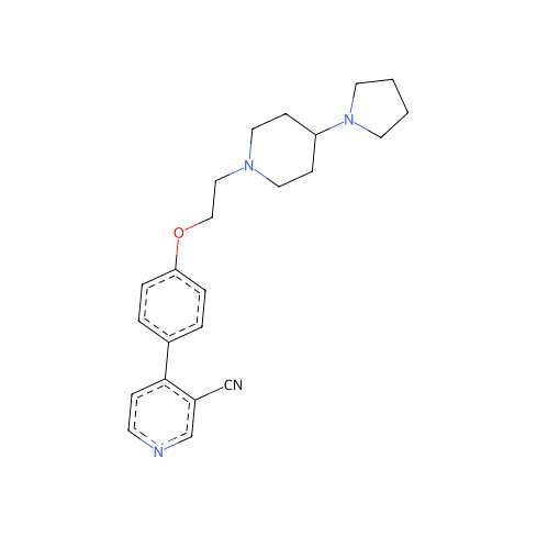 N#Cc1cnccc1-c1ccc(OCCN2CCC(N3CCCC3)CC2)cc1